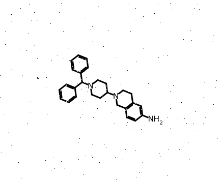 Nc1ccc2c(c1)CCN(C1CCN(C(c3ccccc3)c3ccccc3)CC1)C2